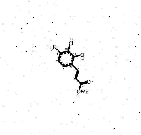 COC(=O)/C=C/c1ccc(N)c(Cl)c1Cl